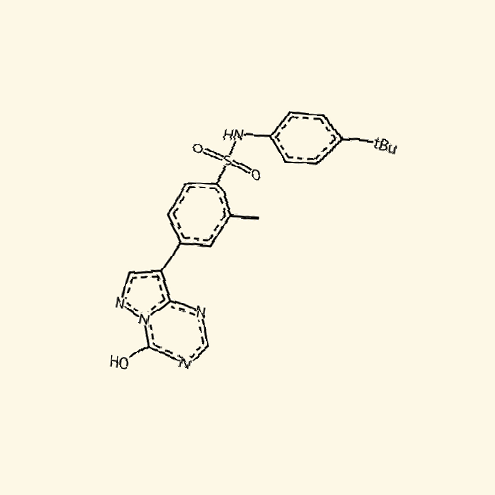 Cc1cc(-c2cnn3c(O)ncnc23)ccc1S(=O)(=O)Nc1ccc(C(C)(C)C)cc1